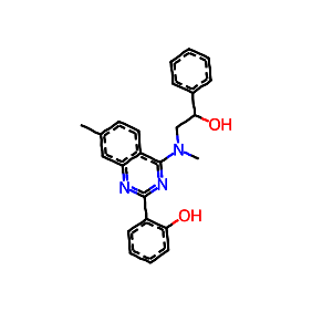 Cc1ccc2c(N(C)CC(O)c3ccccc3)nc(-c3ccccc3O)nc2c1